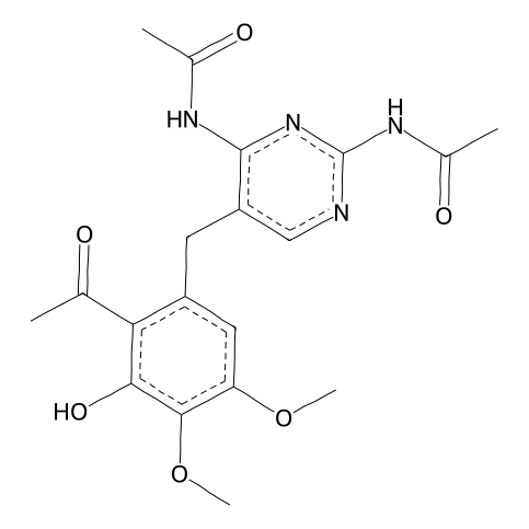 COc1cc(Cc2cnc(NC(C)=O)nc2NC(C)=O)c(C(C)=O)c(O)c1OC